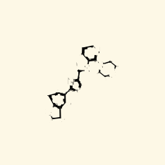 O=C(Nc1cccnc1N1CCOCC1)c1csc(-c2ccc3c(c2)CCO3)n1